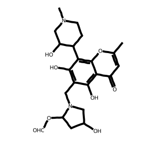 Cc1cc(=O)c2c(O)c(CN3CC(O)CC3OC=O)c(O)c(C3CCN(C)CC3O)c2o1